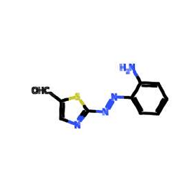 Nc1ccccc1/N=N/c1ncc(C=O)s1